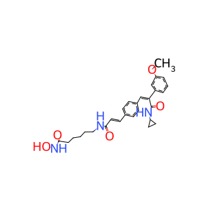 COc1cccc(C(=Cc2ccc(C=CC(=O)NCCCCCC(=O)NO)cc2)C(=O)NC2CC2)c1